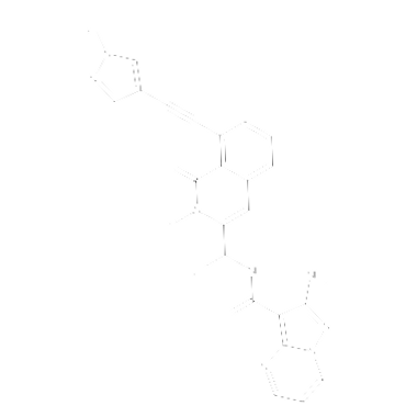 CC(NC(=O)c1c(N)nn2cccnc12)c1cc2cccc(C#Cc3cnn(C)c3)c2c(=O)n1C(C)C